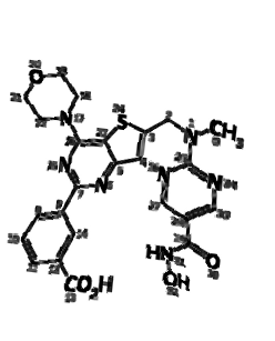 CN(Cc1cc2nc(-c3cccc(C(=O)O)c3)nc(N3CCOCC3)c2s1)c1ncc(C(=O)NO)cn1